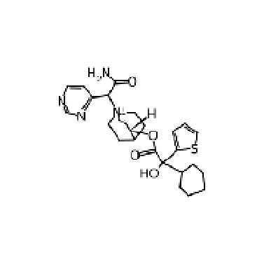 NC(=O)C(c1ccncn1)[N+]12CCC(CC1)[C@@H](OC(=O)C(O)(c1cccs1)C1CCCCC1)C2